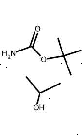 CC(C)(C)OC(N)=O.CC(C)O